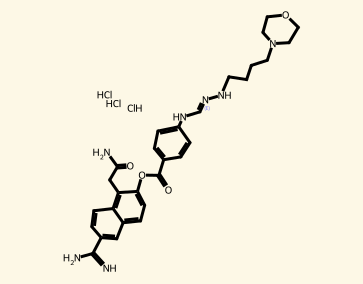 Cl.Cl.Cl.N=C(N)c1ccc2c(CC(N)=O)c(OC(=O)c3ccc(N/C=N/NCCCCN4CCOCC4)cc3)ccc2c1